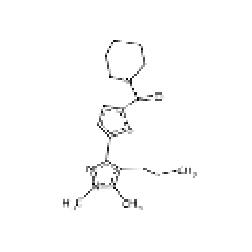 CCCc1c(-c2ccc(C(=O)N3CCCCC3)s2)nn(C)c1C